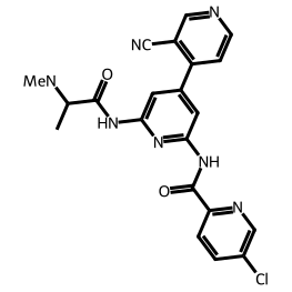 CNC(C)C(=O)Nc1cc(-c2ccncc2C#N)cc(NC(=O)c2ccc(Cl)cn2)n1